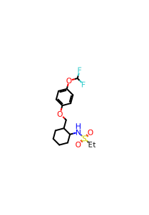 CCS(=O)(=O)NC1CCCCC1COc1ccc(OC(F)F)cc1